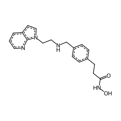 O=C(CCc1ccc(CNCCn2ccc3cccnc32)cc1)NO